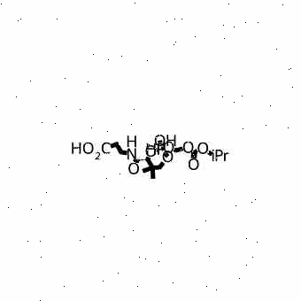 CC(C)OC(=O)OCO[PH]1(O)OCC(C)(C)[C@H](C(=O)NCCC(=O)O)O1